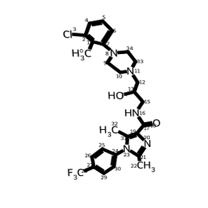 Cc1c(Cl)cccc1N1CCN(CC(O)CNC(=O)c2nc(C)n(-c3ccc(C(F)(F)F)cc3)c2C)CC1